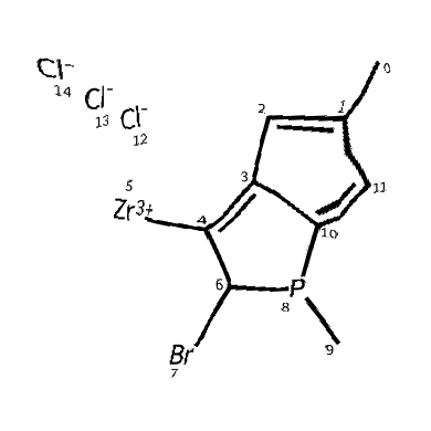 CC1=CC2=[C]([Zr+3])C(Br)P(C)C2=C1.[Cl-].[Cl-].[Cl-]